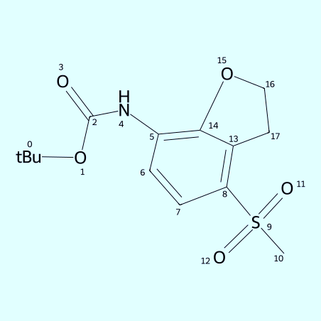 CC(C)(C)OC(=O)Nc1ccc(S(C)(=O)=O)c2c1OCC2